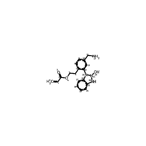 C=CC(=O)OCCc1ccc(CN)cc1N1c2ccccc2NN1O